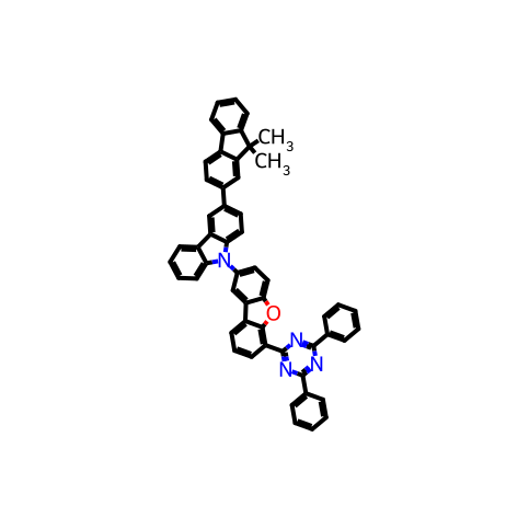 CC1(C)c2ccccc2-c2ccc(-c3ccc4c(c3)c3ccccc3n4-c3ccc4oc5c(-c6nc(-c7ccccc7)nc(-c7ccccc7)n6)cccc5c4c3)cc21